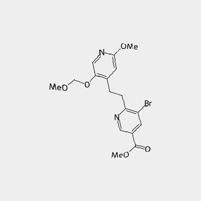 COCOc1cnc(OC)cc1CCc1ncc(C(=O)OC)cc1Br